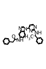 C[C@H](Nc1nccc(-n2cnc3cc(NC(=O)Cc4ccccc4)ccc32)n1)c1ccccc1